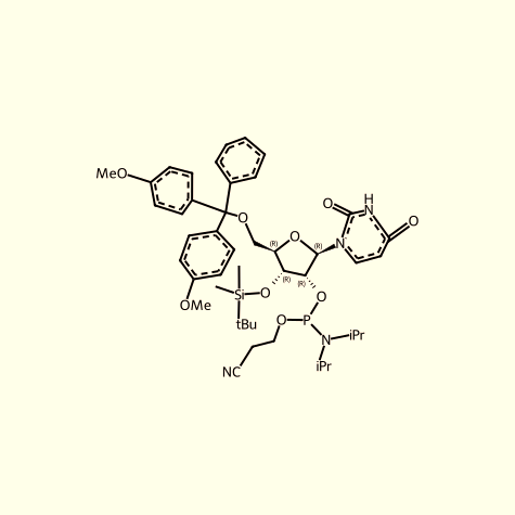 COc1ccc(C(OC[C@H]2O[C@@H](n3ccc(=O)[nH]c3=O)[C@H](OP(OCCC#N)N(C(C)C)C(C)C)[C@@H]2O[Si](C)(C)C(C)(C)C)(c2ccccc2)c2ccc(OC)cc2)cc1